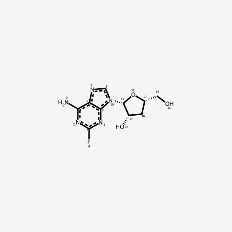 Nc1nc(F)nc2c1ncn2[C@@H]1O[C@H](CO)C[C@@H]1O